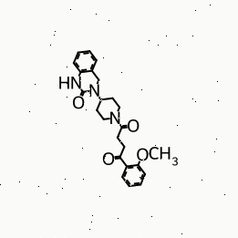 COc1ccccc1C(=O)CCC(=O)N1CCC(N2Cc3ccccc3NC2=O)CC1